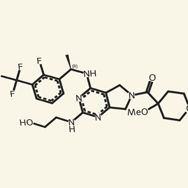 COC1(C(=O)N2Cc3nc(NCCO)nc(N[C@H](C)c4cccc(C(C)(F)F)c4F)c3C2)CCOCC1